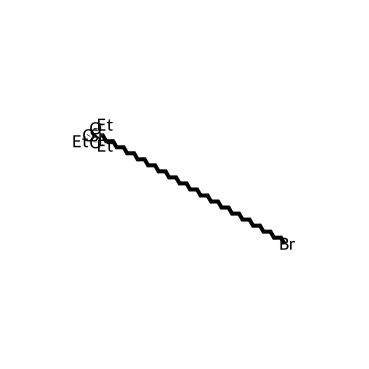 CCO[Si](CCCCCCCCCCCCCCCCCCCCCCCCCCCCCCCCCCCBr)(OCC)OCC